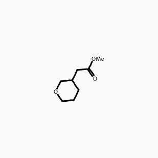 COC(=O)CC1CCCOC1